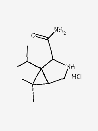 CC(C)C12C(C(N)=O)NCC1C2(C)C.Cl